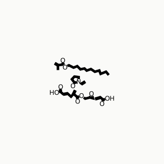 C=C(C)C(=O)OCCCCCCCCCCCC.C=C(CC=CC(=O)O)C(=O)OCC1CO1.C=CC(=O)O.C=CN1CCCC1=O